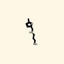 Cc1ccc(CNCCC[NH])s1